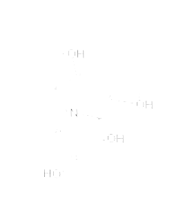 OCCN(CCO)C(O)CO